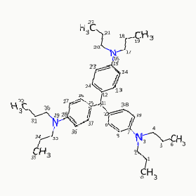 CCCN(CCC)c1ccc([C](c2ccc(N(CCC)CCC)cc2)c2ccc(N(CCC)CCC)cc2)cc1